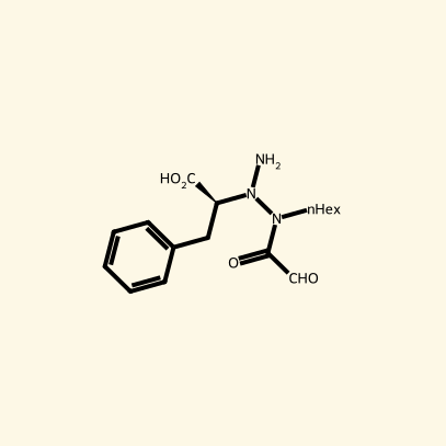 CCCCCCN(C(=O)C=O)N(N)[C@@H](Cc1ccccc1)C(=O)O